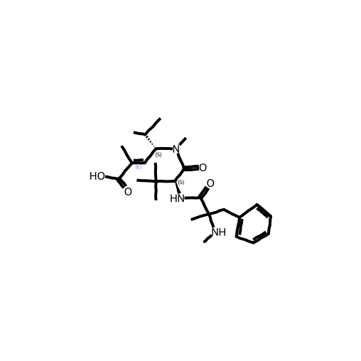 CNC(C)(Cc1ccccc1)C(=O)N[C@H](C(=O)N(C)[C@H](/C=C(\C)C(=O)O)C(C)C)C(C)(C)C